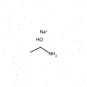 CCN.[Na+].[OH-]